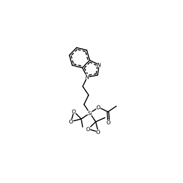 CC(=O)O[Si](CCCn1cnc2ccccc21)(C1(C)OO1)C1(C)OO1